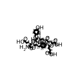 NC(=O)[C@H](CCC(=O)O)NC(=O)[C@H](Cc1ccccc1)NC(=O)[C@H](Cc1ccc(O)cc1)NC(=O)CNC(=O)[C@H](CCC(=O)O)NC(=O)CCC(=O)O